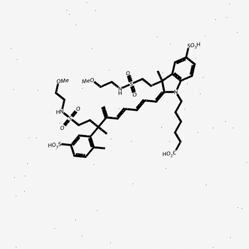 C=C(/C=C/C=C/C=C1/N(CCCCCC(=O)O)c2ccc(S(=O)(=O)O)cc2C1(C)CCS(=O)(=O)NCCOC)C(C)(CCS(=O)(=O)NCCOC)c1cc(S(=O)(=O)O)ccc1C